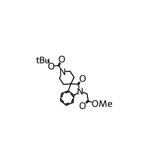 COC(=O)CN1C(=O)C2(CCN(C(=O)OC(C)(C)C)CC2)c2ccccc21